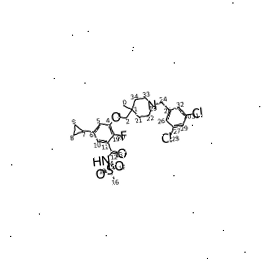 CC1(COc2cc(C3CC3)cc(C(=O)NS(C)(=O)=O)c2F)CCN(Cc2cc(Cl)cc(Cl)c2)CC1